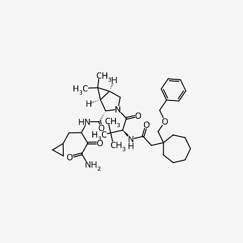 CC(C)(C)[C@H](NC(=O)CC1(COCc2ccccc2)CCCCCC1)C(=O)N1C[C@H]2[C@@H]([C@H]1C(=O)NC(CC1CC1)C(=O)C(N)=O)C2(C)C